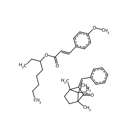 CC12CCC(C)(C(=Cc3ccccc3)C1=O)C2(C)C.CCCCCC(CC)OC(=O)C=Cc1ccc(OC)cc1